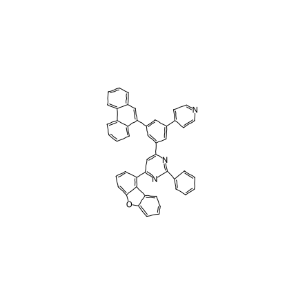 c1ccc(-c2nc(-c3cc(-c4ccncc4)cc(-c4cc5ccccc5c5ccccc45)c3)cc(-c3cccc4oc5ccccc5c34)n2)cc1